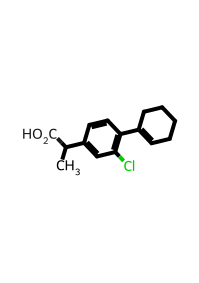 CC(C(=O)O)c1ccc(C2=CCCCC2)c(Cl)c1